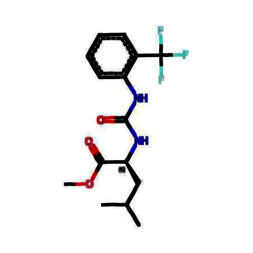 COC(=O)[C@H](CC(C)C)NC(=O)Nc1ccccc1C(F)(F)F